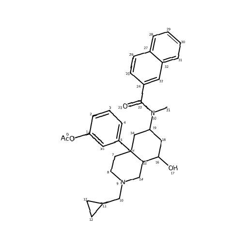 CC(=O)Oc1cccc(C23CCN(CC4CC4)CC2C(O)CC(N(C)C(=O)c2ccc4ccccc4c2)C3)c1